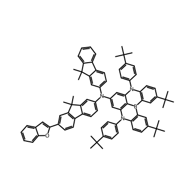 CC(C)(C)c1ccc(N2c3ccc(C(C)(C)C)cc3B3c4cc(C(C)(C)C)ccc4N(c4ccc(C(C)(C)C)cc4)c4cc(N(c5ccc6c(c5)C(C)(C)c5ccccc5-6)c5ccc6c(c5)C(C)(C)c5cc(-c7cc8ccccc8o7)ccc5-6)cc2c43)cc1